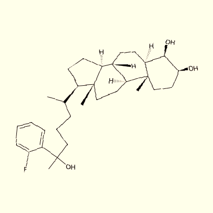 CC(CCCC(C)(O)c1ccccc1F)[C@H]1CC[C@H]2[C@@H]3CC[C@H]4[C@@H](O)[C@@H](O)CC[C@]4(C)[C@H]3CC[C@]12C